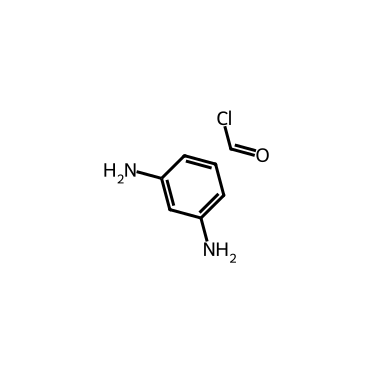 Nc1cccc(N)c1.O=CCl